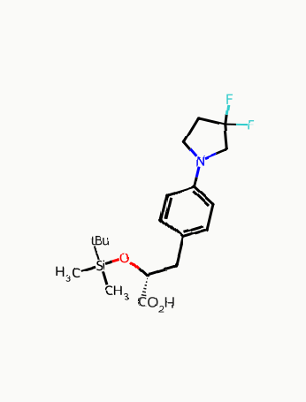 CC(C)(C)[Si](C)(C)O[C@H](Cc1ccc(N2CCC(F)(F)C2)cc1)C(=O)O